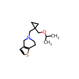 CC(C)OCC1(CN2CCc3sccc3C2)CC1